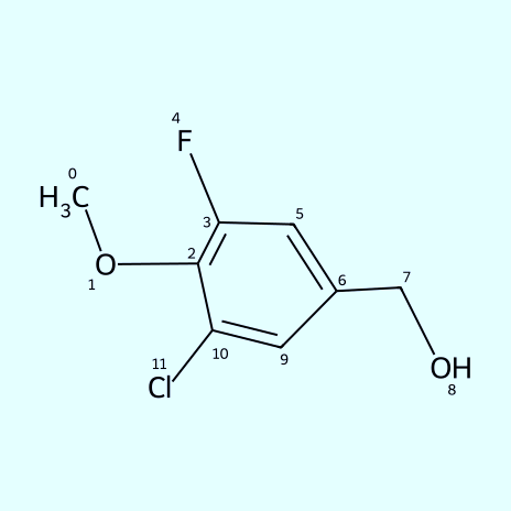 COc1c(F)cc(CO)cc1Cl